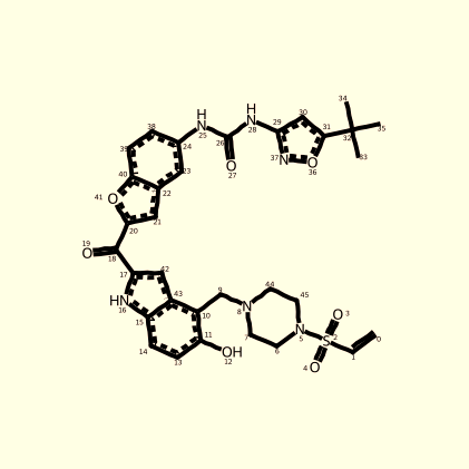 C=CS(=O)(=O)N1CCN(Cc2c(O)ccc3[nH]c(C(=O)c4cc5cc(NC(=O)Nc6cc(C(C)(C)C)on6)ccc5o4)cc23)CC1